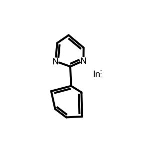 [In].c1ccc(-c2ncccn2)cc1